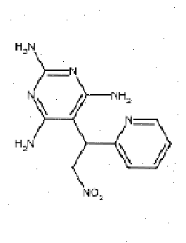 Nc1nc(N)c(C(C[N+](=O)[O-])c2ccccn2)c(N)n1